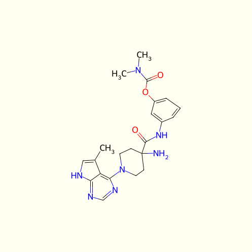 Cc1c[nH]c2ncnc(N3CCC(N)(C(=O)Nc4cccc(OC(=O)N(C)C)c4)CC3)c12